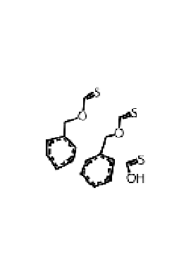 OC=S.S=COCc1ccccc1.S=COCc1ccccc1